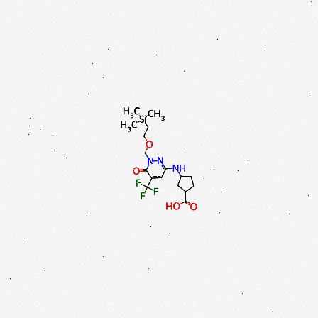 C[Si](C)(C)CCOCn1nc(NC2CCC(C(=O)O)C2)cc(C(F)(F)F)c1=O